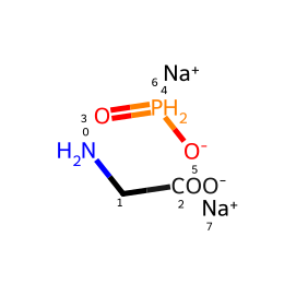 NCC(=O)[O-].O=[PH2][O-].[Na+].[Na+]